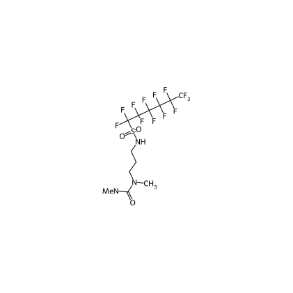 CNC(=O)N(C)CCCNS(=O)(=O)C(F)(F)C(F)(F)C(F)(F)C(F)(F)C(F)(F)C(F)(F)F